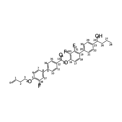 C=CCCOc1ccc(-c2ccc(C(=O)Oc3ccc(-c4ccc(C(O)CCC)cc4)c(F)c3F)cc2)cc1F